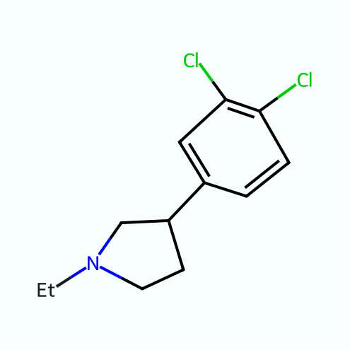 CCN1CCC(c2ccc(Cl)c(Cl)c2)C1